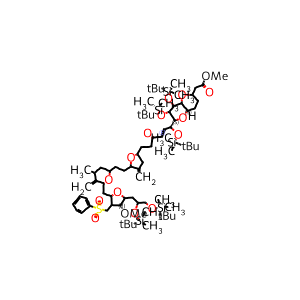 C=C1CC(CCC(=O)/C=C/C(O[Si](C)(C)C(C)(C)C)[C@@H]2O[C@H]3CCC(CC(=O)OC)OC3C(O[Si](C)(C)C(C)(C)C)C2O[Si](C)(C)C(C)(C)C)OC1CCC1CC(C)C(=C)C(CC2OC(CC(CO[Si](C)(C)C(C)(C)C)O[Si](C)(C)C(C)(C)C)[C@H](OC)C2CS(=O)(=O)c2ccccc2)O1